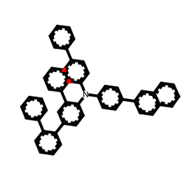 c1ccc(-c2ccc(N(c3ccc(-c4ccc5ccccc5c4)cc3)c3ccc(-c4ccccc4-c4ccccc4)cc3-c3ccccc3)cc2)cc1